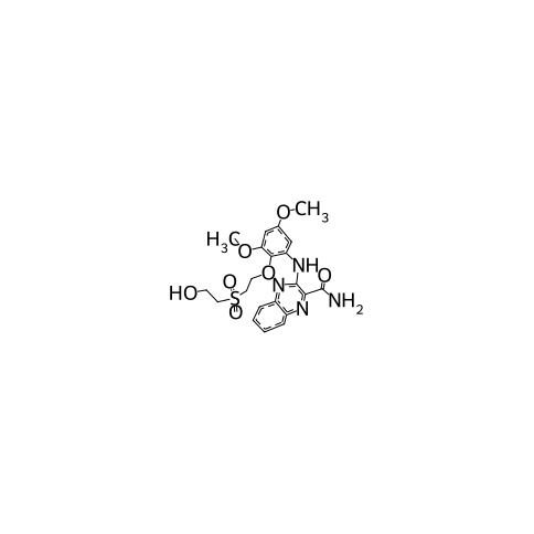 COc1cc(Nc2nc3ccccc3nc2C(N)=O)c(OCCS(=O)(=O)CCO)c(OC)c1